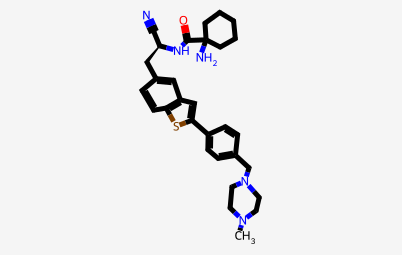 CN1CCN(Cc2ccc(-c3cc4cc(C[C@@H](C#N)NC(=O)C5(N)CCCCC5)ccc4s3)cc2)CC1